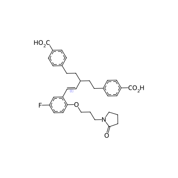 O=C(O)c1ccc(CCC(/C=C/c2cc(F)ccc2OCCCN2CCCC2=O)CCc2ccc(C(=O)O)cc2)cc1